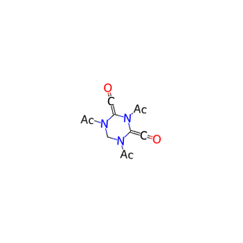 CC(=O)N1CN(C(C)=O)C(=C=O)N(C(C)=O)C1=C=O